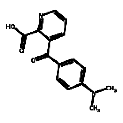 CN(C)c1ccc(C(=O)c2cccnc2C(=O)O)cc1